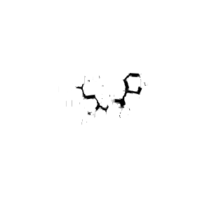 C/C(=C\C(CNC(=O)c1cccnc1)=N/O)C(C)[N+](=O)[O-]